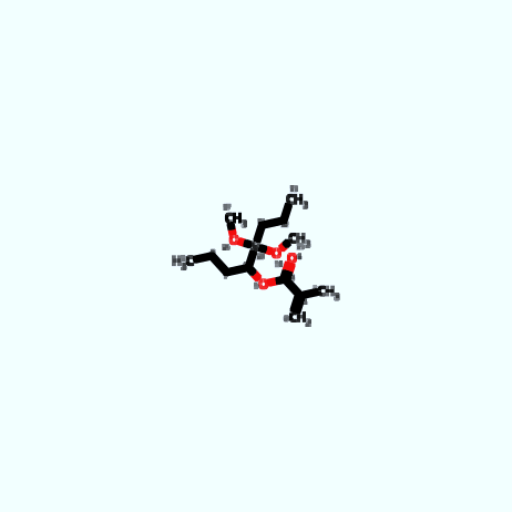 C=C(C)C(=O)OC(CCC)[Si](CCC)(OC)OC